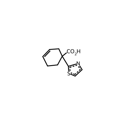 O=C(O)C1(c2nccs2)CC=CCC1